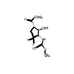 COC(=O)[C@H]1CC(F)(F)[C@@H](NC(=O)OC(C)(C)C)[C@@H]1O